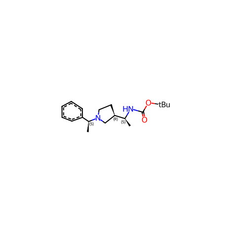 C[C@H](NC(=O)OC(C)(C)C)[C@@H]1CCN([C@@H](C)c2ccccc2)C1